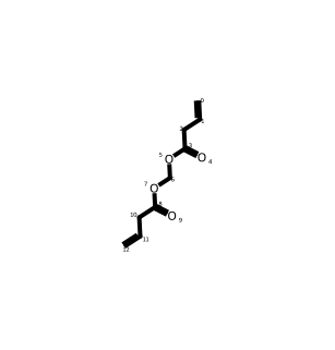 C=CCC(=O)OCOC(=O)CC=C